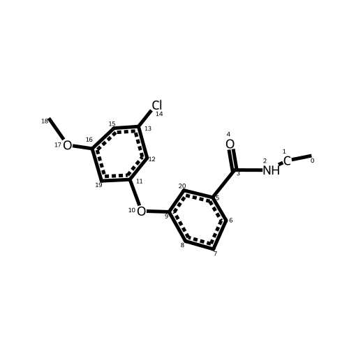 CCNC(=O)c1cccc(Oc2cc(Cl)cc(OC)c2)c1